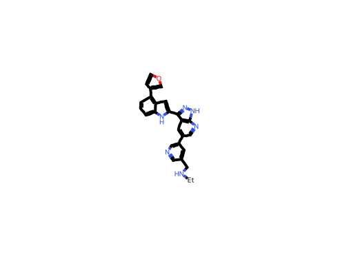 CCNCc1cncc(-c2cnc3[nH]nc(-c4cc5c(-c6ccoc6)cccc5[nH]4)c3c2)c1